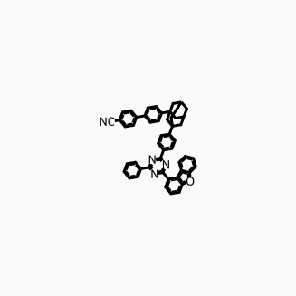 N#Cc1ccc(-c2ccc(C34CC5CC(C3)CC(c3ccc(-c6nc(-c7ccccc7)nc(-c7cccc8oc9ccccc9c78)n6)cc3)(C5)C4)cc2)cc1